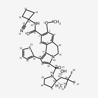 COc1cc2c(cc1C(=O)NC1(C#N)CCC1)-c1c(-c3cccs3)cc(C(=O)N3CCC[C@]3(C)[C@H](O)C(F)(F)F)n1CC2